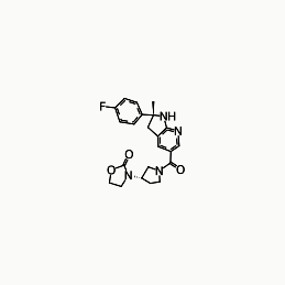 C[C@]1(c2ccc(F)cc2)Cc2cc(C(=O)N3CC[C@H](N4CCOC4=O)C3)cnc2N1